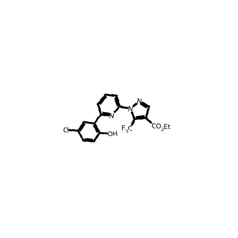 CCOC(=O)c1cnn(-c2cccc(-c3cc(Cl)ccc3O)n2)c1C(F)(F)F